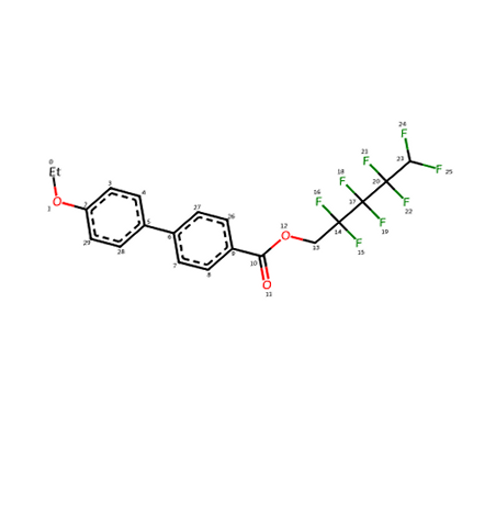 CCOc1ccc(-c2ccc(C(=O)OCC(F)(F)C(F)(F)C(F)(F)C(F)F)cc2)cc1